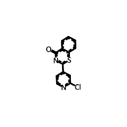 O=c1nc(-c2ccnc(Cl)c2)sc2ccccc12